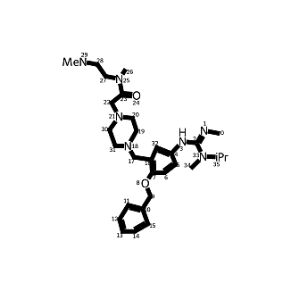 C/N=C(/Nc1ccc(OCc2ccccc2)c(CN2CCN(CC(=O)N(C)CCNC)CC2)c1)N(C)C(C)C